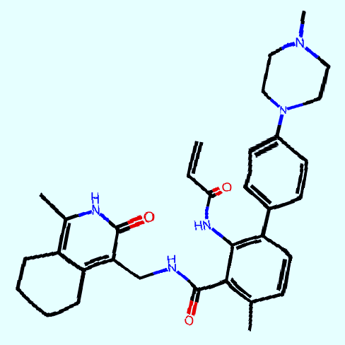 C=CC(=O)Nc1c(-c2ccc(N3CCN(C)CC3)cc2)ccc(C)c1C(=O)NCc1c2c(c(C)[nH]c1=O)CCCC2